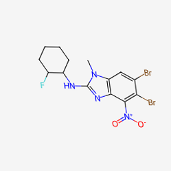 Cn1c(NC2CCCCC2F)nc2c([N+](=O)[O-])c(Br)c(Br)cc21